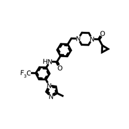 Cc1cn(-c2cc(NC(=O)c3ccc(CN4CCN(C(=O)C5CC5)CC4)cc3)cc(C(F)(F)F)c2)cn1